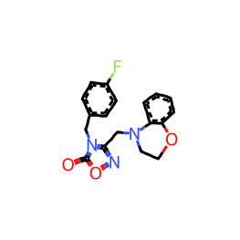 O=c1onc(CN2CCOc3ccccc32)n1Cc1ccc(F)cc1